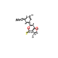 COc1cc(C)cc(-c2cc3occ(C)c3c(=S)o2)c1